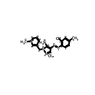 Cc1ccc(N=Nc2cnn(Cc3ccc[n+](C)c3)c2N)c(Cl)c1.[Cl-]